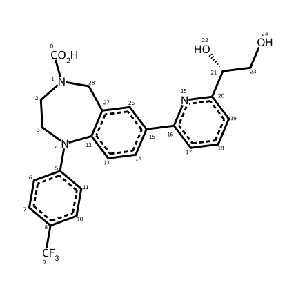 O=C(O)N1CCN(c2ccc(C(F)(F)F)cc2)c2ccc(-c3cccc([C@H](O)CO)n3)cc2C1